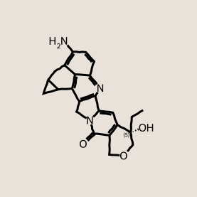 CC[C@@]1(O)COCc2c1cc1n(c2=O)Cc2c-1nc1ccc(N)c3c1c2C1CC1C3